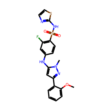 COc1ccccc1-c1cc(Nc2ccc(S(=O)(=O)Nc3nccs3)c(F)c2)n(C)n1